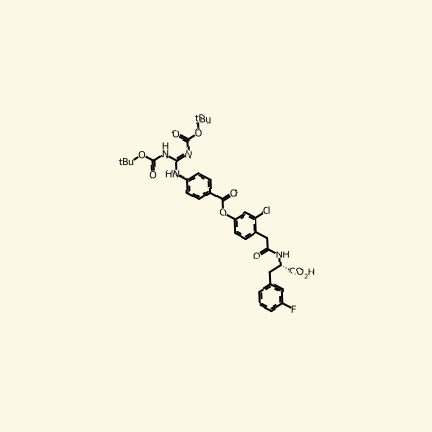 CC(C)(C)OC(=O)N=C(NC(=O)OC(C)(C)C)Nc1ccc(C(=O)Oc2ccc(CC(=O)N[C@@H](Cc3cccc(F)c3)C(=O)O)c(Cl)c2)cc1